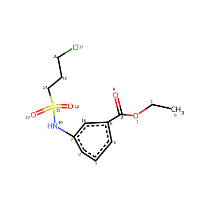 CCOC(=O)c1cccc(NS(=O)(=O)CCCCl)c1